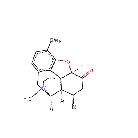 CC[C@@H]1CC(=O)[C@@H]2Oc3c(OC)ccc4c3[C@@]23CCN(C)[C@H](C4)[C@H]13